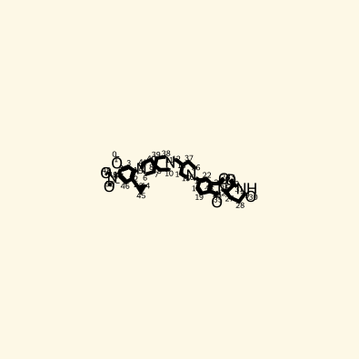 COc1cc(N2CCC3(CCN(CC4CCN(c5ccc6c(c5)C(=O)N(C5CCC(=O)NC5=O)C6=O)CC4)CC3)CC2)c(C2CC2)cc1[N+](=O)[O-]